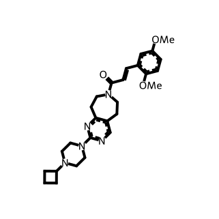 COc1ccc(OC)c(/C=C/C(=O)N2CCc3cnc(N4CCN(C5CCC5)CC4)nc3CC2)c1